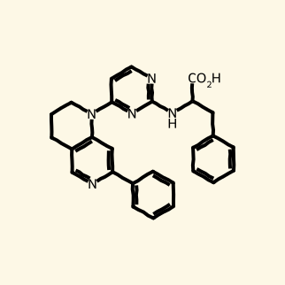 O=C(O)C(Cc1ccccc1)Nc1nccc(N2CCCc3cnc(-c4ccccc4)cc32)n1